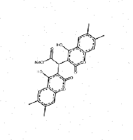 COC(=O)C(c1c(O)c2cc(C)c(C)cc2oc1=O)c1c(O)c2cc(C)c(C)cc2oc1=O